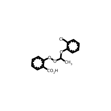 CC(OOc1ccccc1C(=O)O)Oc1ccccc1Cl